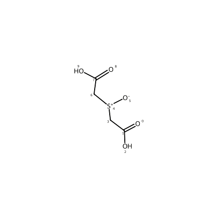 O=C(O)C[S+]([O-])CC(=O)O